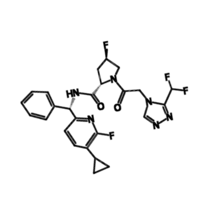 O=C(N[C@@H](c1ccccc1)c1ccc(C2CC2)c(F)n1)[C@@H]1C[C@@H](F)CN1C(=O)Cn1cnnc1C(F)F